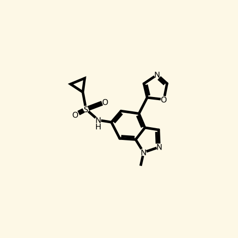 Cn1ncc2c(-c3cnco3)cc(NS(=O)(=O)C3CC3)cc21